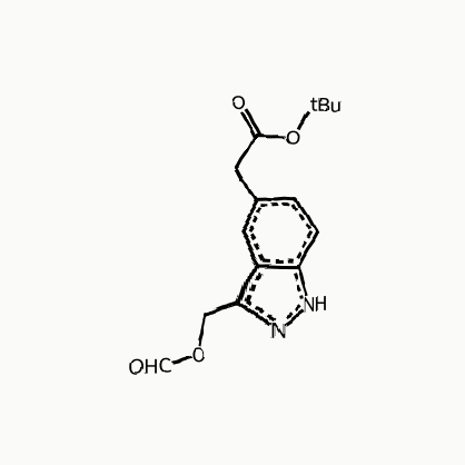 CC(C)(C)OC(=O)Cc1ccc2[nH]nc(COC=O)c2c1